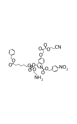 N#CCCOC(=O)C(=O)COc1ccc2c(c1)c(OP(=O)(OCCN)OCCCCCC(=O)OCc1ccccc1)cn2C(=O)OCc1ccc([N+](=O)[O-])cc1